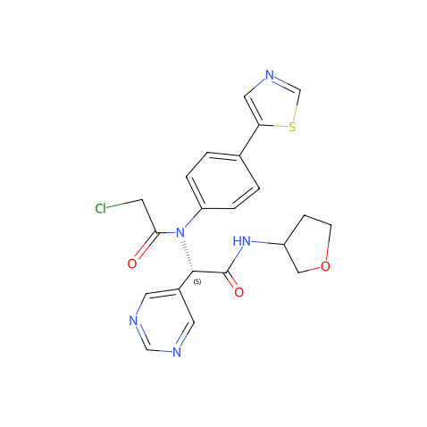 O=C(NC1CCOC1)[C@H](c1cncnc1)N(C(=O)CCl)c1ccc(-c2cncs2)cc1